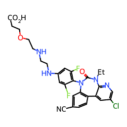 CCN1C(=O)N(c2c(F)cc(NCCNCCOCCC(=O)O)cc2F)c2cc(C#N)ccc2-c2cc(Cl)cnc21